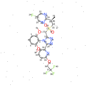 COc1cccc(OC)c1-n1c(CS(=O)(=O)[C@@H](C)[C@H](C)c2ncc(F)cn2)nnc1-c1cccc(OCC(F)(F)F)n1